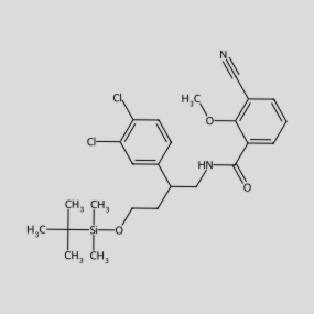 COc1c(C#N)cccc1C(=O)NCC(CCO[Si](C)(C)C(C)(C)C)c1ccc(Cl)c(Cl)c1